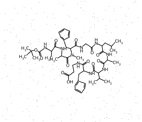 CC(C)CC(NC(=O)CNC(=O)C(Cc1ccccc1)N(C)C(=O)C(C)NC(=O)C(C)NC(=O)OC(C)(C)C)C(=O)NC(C)C(=O)NC(C(=O)NC(Cc1ccccc1)C(=O)NCCC(=O)O)C(C)C